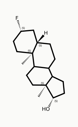 C[C@]12CCC3C(CC[C@H]4C[C@@H](F)CC[C@]34C)C1CC[C@@H]2O